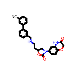 N#Cc1cccc(-c2cccc(CNCCC3CN(c4ccc5c(c4)NC(=O)CO5)C(=O)O3)c2)c1